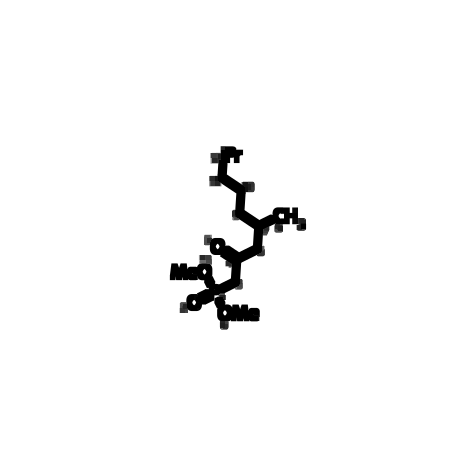 COP(=O)(CC(=O)CC(C)CCCC(C)C)OC